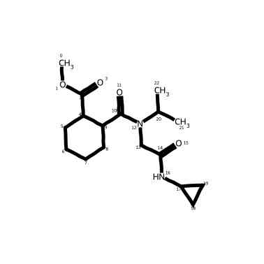 COC(=O)C1CCCCC1C(=O)N(CC(=O)NC1CC1)C(C)C